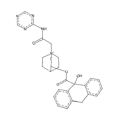 O=C(C[N+]12CCC(CC1)C(OC(=O)C1(O)c3ccccc3Cc3ccccc31)C2)Nc1ncncn1